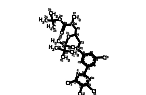 Cc1c(Cl)nc(-c2cc(Cl)cc(OCC(CN(C)C(=O)OC(C)(C)C)O[Si](C)(C)C(C)(C)C)c2)nc1Cl